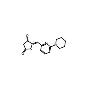 O=C1CC(=O)/C(=C/c2cccc(N3CCCCC3)n2)S1